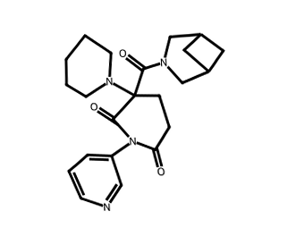 O=C1CCC(C(=O)N2CC3CC(C3)C2)(N2CCCCC2)C(=O)N1c1cccnc1